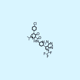 CC(C)n1cc(-c2ccc(Cl)cc2)c(=O)c(C(=O)Nc2ccc(-c3cn(C(F)C(F)F)c4ncnc(N)c34)cc2)n1